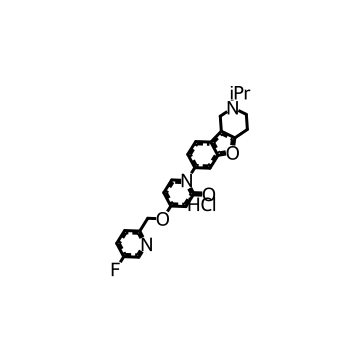 CC(C)N1CCc2oc3cc(-n4ccc(OCc5ccc(F)cn5)cc4=O)ccc3c2C1.Cl